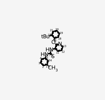 Cc1cccc(NC(=S)Nc2cccnc2Oc2ccccc2C(C)(C)C)c1